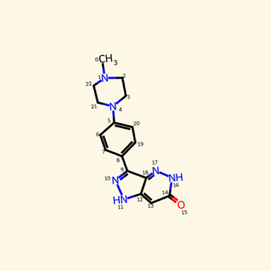 CN1CCN(c2ccc(-c3n[nH]c4cc(=O)[nH]nc34)cc2)CC1